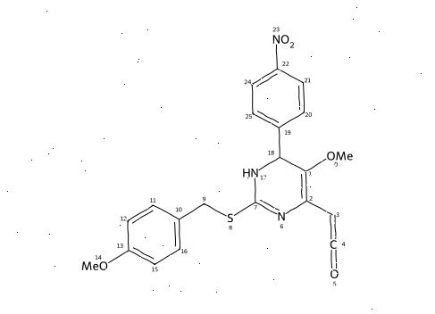 COC1=C(C=C=O)N=C(SCc2ccc(OC)cc2)NC1c1ccc([N+](=O)[O-])cc1